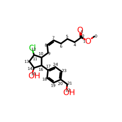 COC(=O)CCC/C=C\CC1C(Cl)CC(O)C1c1ccc(CO)cc1